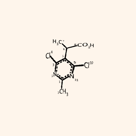 Cc1nc(Cl)c(C(C)C(=O)O)c(Cl)n1